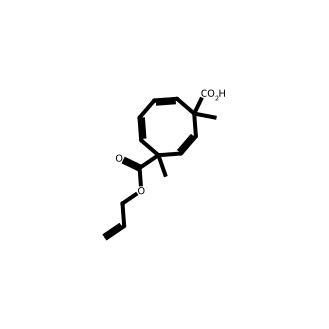 C=CCOC(=O)C1(C)/C=C\C=C/C(C)(C(=O)O)/C=C\1